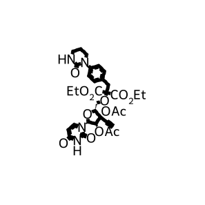 C#C[C@@]1(OC(C)=O)[C@@H](COC(Cc2ccc(N3CCCNC3=O)cc2)(C(=O)OCC)C(=O)OCC)O[C@@H](n2ccc(=O)[nH]c2=O)[C@@H]1OC(C)=O